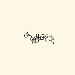 C[N+](C)(C)CCOP(=O)(O)OCC1CO1